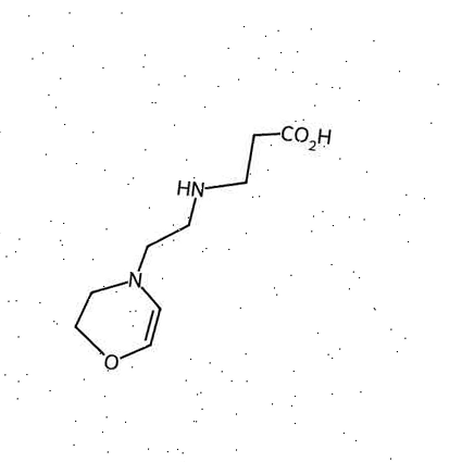 O=C(O)CCNCCN1C=COCC1